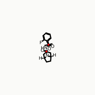 CC(C)(C)OC(=O)N1[C@@H]2CC[C@H]1C[C@@H](NC(=O)c1ccccc1F)C2